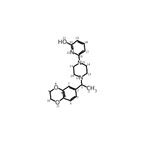 CC(c1ccc2c(c1)OCCO2)N1CCN(c2cccc(O)n2)CC1